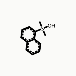 CS(C)(O)c1cccc2ccccc12